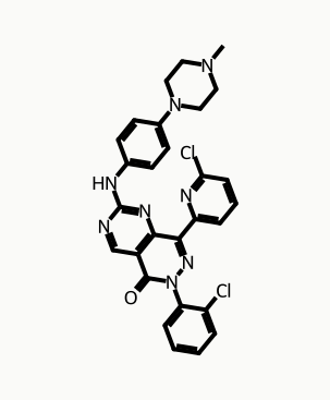 CN1CCN(c2ccc(Nc3ncc4c(=O)n(-c5ccccc5Cl)nc(-c5cccc(Cl)n5)c4n3)cc2)CC1